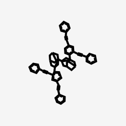 C(#Cc1ccc(C23CC4CC(C2)CC(C25CC6CC(CC(c7ccc(C#Cc8ccccc8)cc7C#Cc7ccccc7)(C6)C2)C5)(C4)C3)c(C#Cc2ccccc2)c1)c1ccccc1